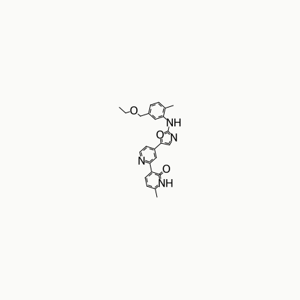 CCOCc1ccc(C)c(Nc2ncc(-c3ccnc(-c4ccc(C)[nH]c4=O)c3)o2)c1